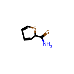 NC(=S)C1C=CC=CS1